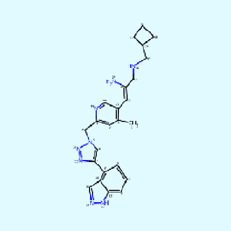 Cc1cc(Cn2cc(-c3cccc4[nH]ncc34)nn2)ncc1/C=C(\N)CNCC1CCC1